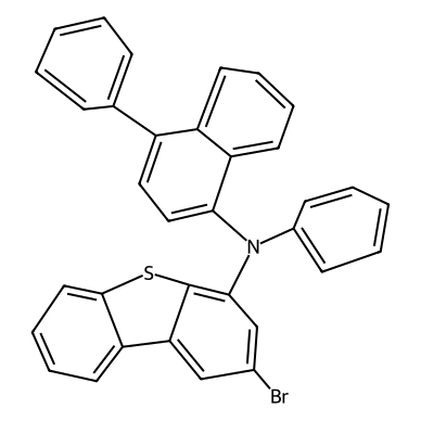 Brc1cc(N(c2ccccc2)c2ccc(-c3ccccc3)c3ccccc23)c2sc3ccccc3c2c1